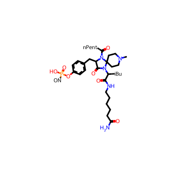 CCCCCC(=O)N1C(Cc2ccc(OP(=O)(O)N=O)cc2)C(=O)N(C(C(=O)NCCCCCC(N)=O)C(C)CC)C12CCN(C)CC2